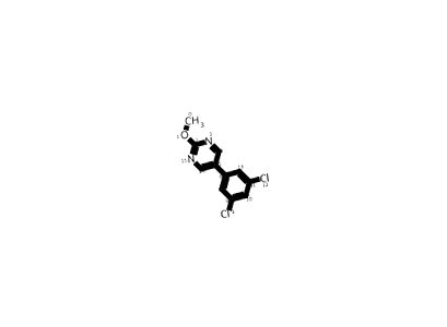 COc1ncc(-c2cc(Cl)[c]c(Cl)c2)cn1